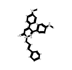 COc1ccc(-c2cc(=O)n(CC=Cc3ccccc3)nc2-c2ccc(OC)cc2)cc1